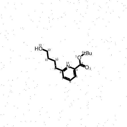 CC(C)(C)OC(=O)c1cccc(CCCCO)n1